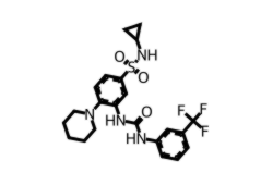 O=C(Nc1cccc(C(F)(F)F)c1)Nc1cc(S(=O)(=O)NC2CC2)ccc1N1CCCCC1